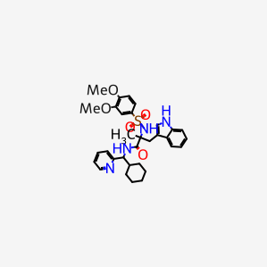 COc1ccc(S(=O)(=O)NC(C)(Cc2c[nH]c3ccccc23)C(=O)NC(c2ccccn2)C2CCCCC2)cc1OC